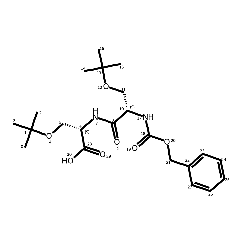 CC(C)(C)OC[C@H](NC(=O)[C@H](COC(C)(C)C)NC(=O)OCc1ccccc1)C(=O)O